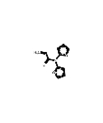 C=CC(=O)N(c1ccco1)c1ccco1